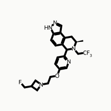 C[C@@H]1Cc2c(ccc3[nH]ncc23)C(c2ccc(OCCN3CC(CF)C3)cn2)N1CC(F)(F)F